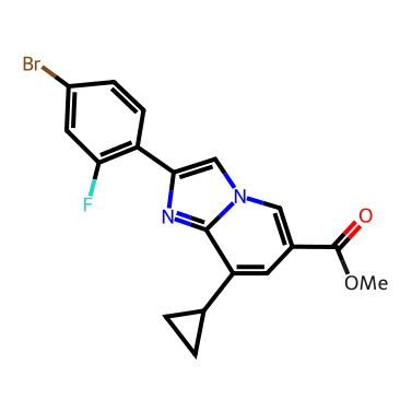 COC(=O)c1cc(C2CC2)c2nc(-c3ccc(Br)cc3F)cn2c1